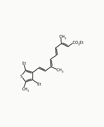 CCOC(=O)C=C(C)C=CC=C(C)C=Cc1c(CC)sc(C)c1CC